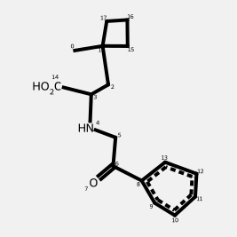 CC1(CC(NCC(=O)c2ccccc2)C(=O)O)CCC1